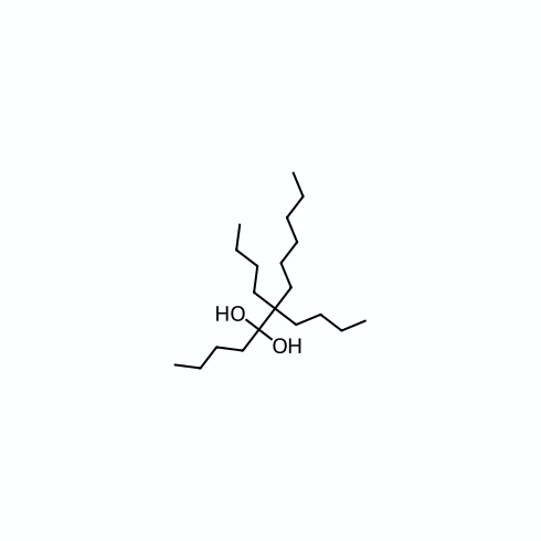 CCCCCCC(CCCC)(CCCC)C(O)(O)CCCC